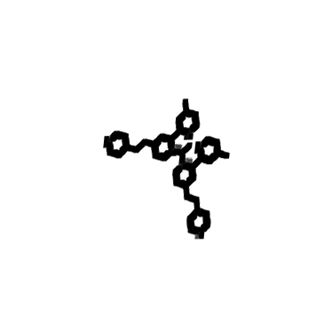 Cc1ccnc(-c2cc(CCc3ccncc3)cc[n+]2C(C)[n+]2ccc(CCc3ccncc3)cc2-c2cc(C)ccn2)c1